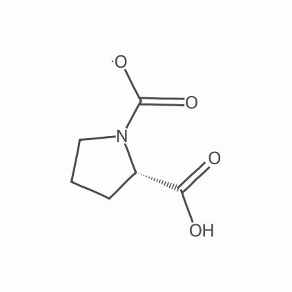 [O]C(=O)N1CCC[C@H]1C(=O)O